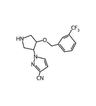 N#Cc1ccn(C2CNCC2OCc2cccc(C(F)(F)F)c2)n1